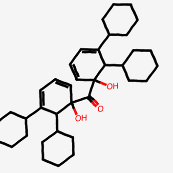 O=C(C1(O)C=CC=C(C2CCCCC2)C1C1CCCCC1)C1(O)C=CC=C(C2CCCCC2)C1C1CCCCC1